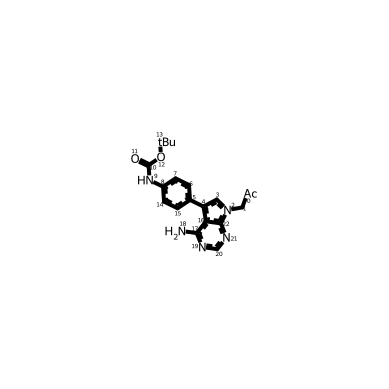 CC(=O)Cn1cc(-c2ccc(NC(=O)OC(C)(C)C)cc2)c2c(N)ncnc21